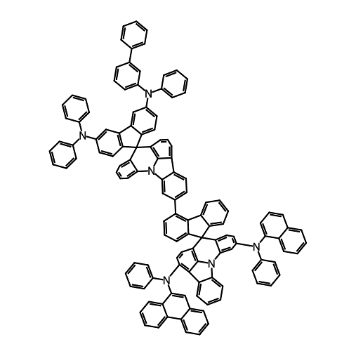 c1ccc(-c2cccc(N(c3ccccc3)c3ccc4c(c3)-c3cc(N(c5ccccc5)c5ccccc5)ccc3C43c4ccccc4-n4c5cc(-c6cccc7c6-c6ccccc6C76c7ccc(N(c8ccccc8)c8cccc9ccccc89)cc7-n7c8ccccc8c8c(N(c9ccccc9)c9cc%10ccccc%10c%10ccccc9%10)ccc6c87)ccc5c5cccc3c54)c2)cc1